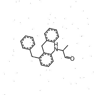 CC(C=O)Nc1cccc(Cc2ccccc2)c1Cc1ccccc1